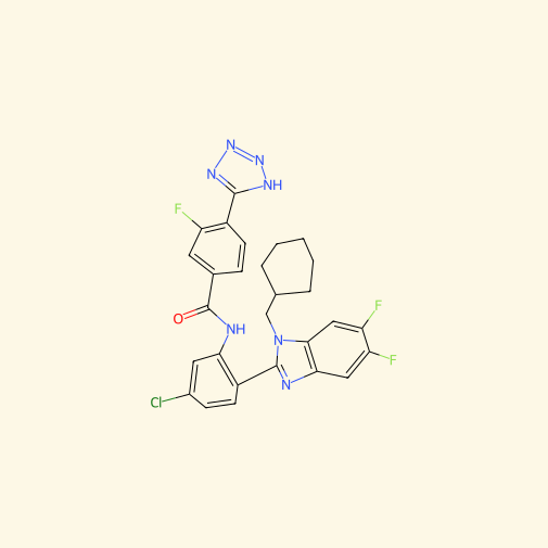 O=C(Nc1cc(Cl)ccc1-c1nc2cc(F)c(F)cc2n1CC1CCCCC1)c1ccc(-c2nnn[nH]2)c(F)c1